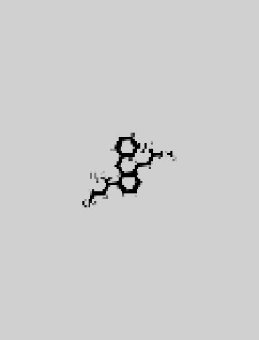 CC(C)[CH]Cc1cccc(C(C)CCCl)c1Cc1ccccc1